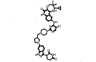 Cn1nc(C2CCC(=O)NC2=O)c2ccc(N3CCC(CN4CCN(c5ncc(Cl)c(Nc6ccc7c(c6)c6c(c(=O)n7C)OCC(F)(F)C(C7CC7)N6)n5)CC4)C3)cc21